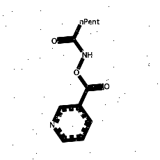 CCCCCC(=O)NOC(=O)c1cccnc1